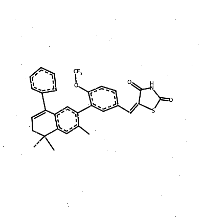 Cc1cc2c(cc1-c1cc(/C=C3/SC(=O)NC3=O)ccc1OC(F)(F)F)C(c1ccccc1)=CCC2(C)C